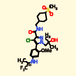 COc1cc(N[C@H](C)C(F)(F)F)ccc1-c1c(Cl)c(C(=O)NCC2CCC(S(C)(=O)=O)CC2)nn1CC(C)(C)O